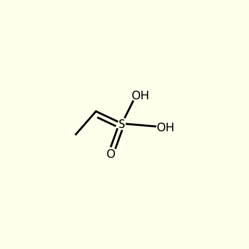 CC=S(=O)(O)O